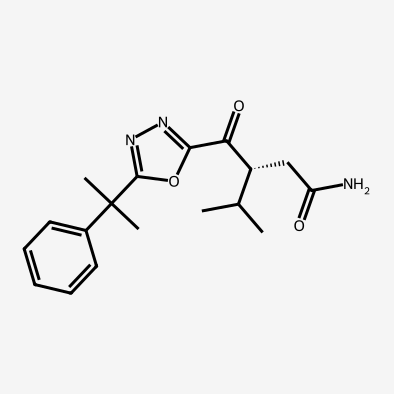 CC(C)[C@@H](CC(N)=O)C(=O)c1nnc(C(C)(C)c2ccccc2)o1